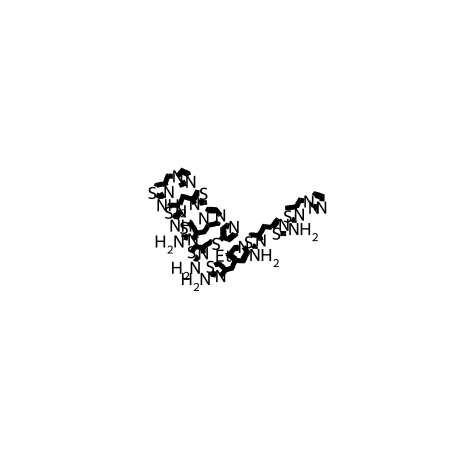 CCC1SC(N)=NC1Cc1ccncc1.NC1=NC(CSc2ccncc2)CS1.NC1=NC(Cc2cnccn2)CS1.NC1=NC(Cc2cncs2)CS1.NC1=NC(Cc2cscn2)CS1.NC1=NC(Cn2ccnc2)CS1.NC1=NC(Cn2ccnn2)CS1